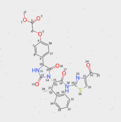 COC(=O)COc1ccc(C2NC(=O)N([C@H](C(=O)Nc3nc(C(C)=O)cs3)[C@@H](C)c3ccccc3)C2=O)cc1